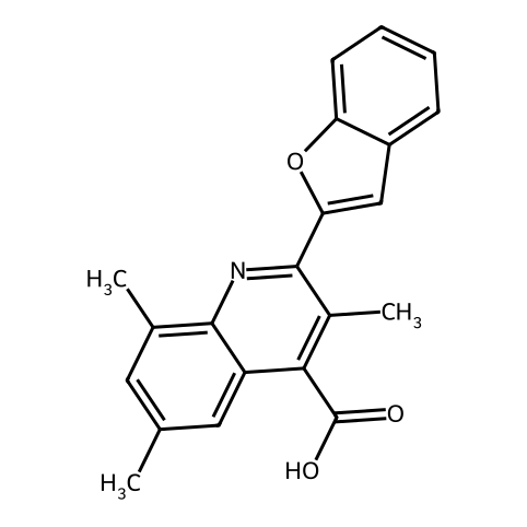 Cc1cc(C)c2nc(-c3cc4ccccc4o3)c(C)c(C(=O)O)c2c1